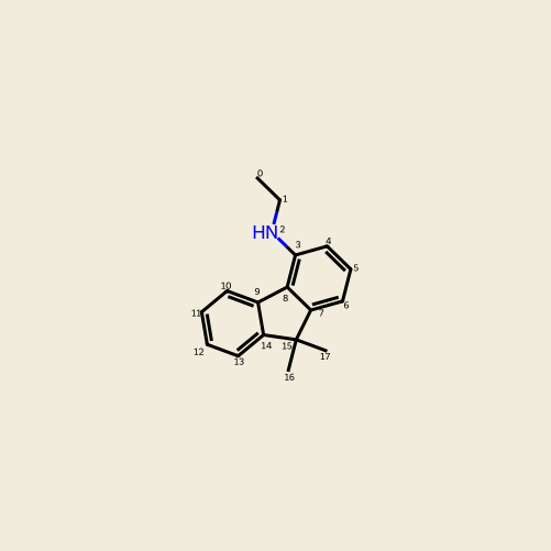 CCNc1cccc2c1-c1ccccc1C2(C)C